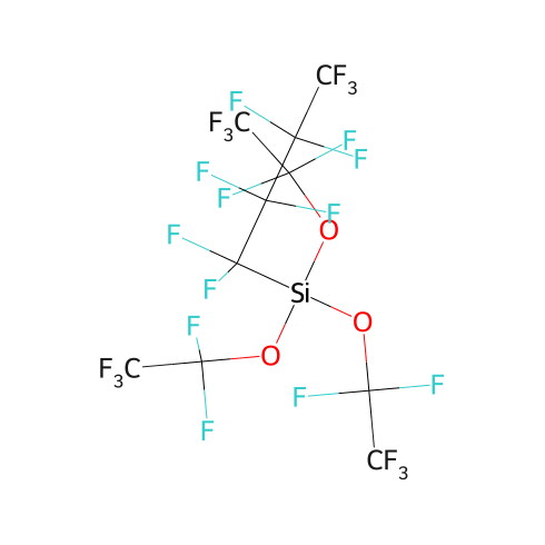 FC(F)(F)C(F)(F)O[Si](OC(F)(F)C(F)(F)F)(OC(F)(F)C(F)(F)F)C(F)(F)C(F)(F)C(F)(F)C(F)(F)F